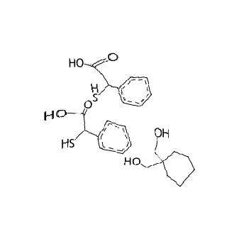 O=C(O)C(S)c1ccccc1.O=C(O)C(S)c1ccccc1.OCC1(CO)CCCCC1